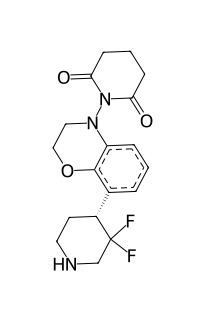 O=C1CCCC(=O)N1N1CCOc2c([C@H]3CCNCC3(F)F)cccc21